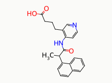 CC(C(=O)Nc1ccncc1CCCC(=O)O)c1cccc2ccccc12